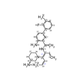 C=C/C(NC(=C)c1nc(-c2cccc(C)c2F)ccc1N)=C(\C=C/C)N1CCC[C@H](N)C1